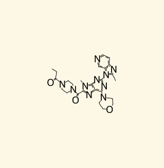 CCC(=O)N1CCN(C(=O)c2nc3c(N4CCOCC4)nc(-n4c(C)nc5ccncc54)nc3n2C)CC1